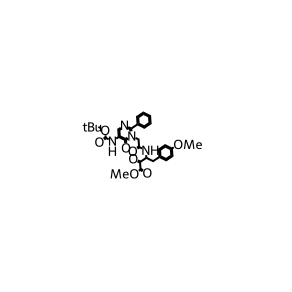 COC(=O)C(=O)C(Cc1ccc(OC)cc1)NC(=O)Cn1c(-c2ccccc2)ncc(NC(=O)OC(C)(C)C)c1=O